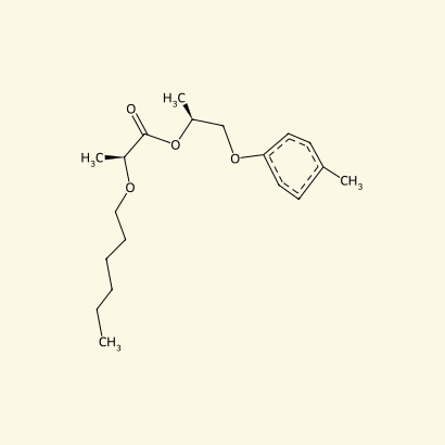 CCCCCCO[C@@H](C)C(=O)O[C@@H](C)COc1ccc(C)cc1